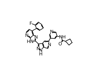 O=C(Nc1cncc(-c2cc3c(-c4nc5c(-c6ccccc6F)ccnc5[nH]4)n[nH]c3cn2)c1)C1CCC1